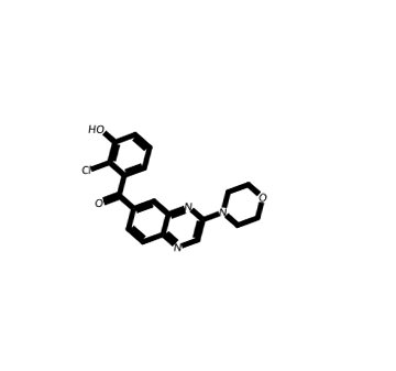 O=C(c1ccc2ncc(N3CCOCC3)nc2c1)c1cccc(O)c1Cl